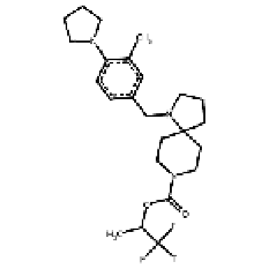 Cc1cc(CN2CCCC23CCN(C(=O)OC(C)C(F)(F)F)CC3)ccc1N1CCCC1